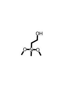 CO[Si](C)(CCO)OC